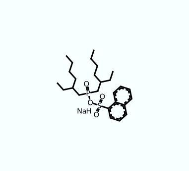 CCCCC(CC)CP(=O)(CC(CC)CCCC)OS(=O)(=O)c1cccc2ccccc12.[NaH]